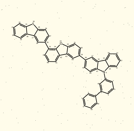 c1ccc(-c2cccc(-n3c4ccccc4c4cc(-c5ccc6oc7c(-c8ccc9sc%10ccccc%10c9c8)cccc7c6c5)ccc43)c2)cc1